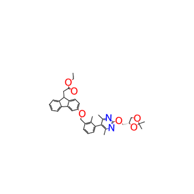 CCOC(=O)CC1c2ccccc2-c2cc(OCc3cccc(-c4c(C)nc(OC[C@@H]5COC(C)(C)O5)nc4C)c3C)ccc21